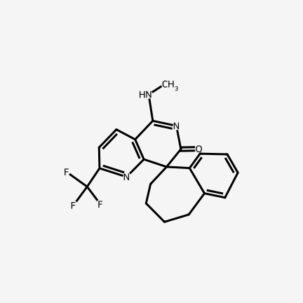 CNC1=NC(=O)C2(CCCCc3ccccc32)c2nc(C(F)(F)F)ccc21